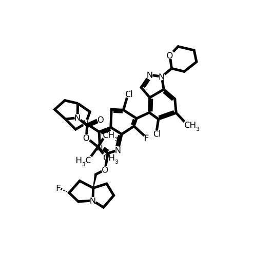 Cc1cc2c(cnn2C2CCCCO2)c(-c2c(Cl)cc3c(N4CC5CCC(C4)N5C(=O)OC(C)(C)C)nc(OC[C@@]45CCCN4C[C@H](F)C5)nc3c2F)c1Cl